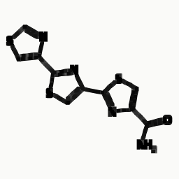 NC(=O)c1csc(-c2csc(-c3cscn3)n2)n1